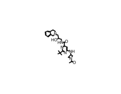 CC(=O)N1CC(Nc2cc(C(=O)NCC(O)CN3CCc4ccccc4C3)nc(C(C)(C)C)n2)C1